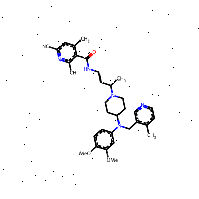 COc1ccc(N(Cc2cnccc2C)C2CCN(C(C)CCNC(=O)c3c(C)cc(C#N)nc3C)CC2)cc1OC